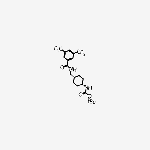 CC(C)(C)OC(=O)N[C@H]1CC[C@@H](CNC(=O)c2cc(C(F)(F)F)cc(C(F)(F)F)c2)CC1